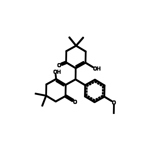 COc1ccc(C(C2=C(O)CC(C)(C)CC2=O)C2=C(O)CC(C)(C)CC2=O)cc1